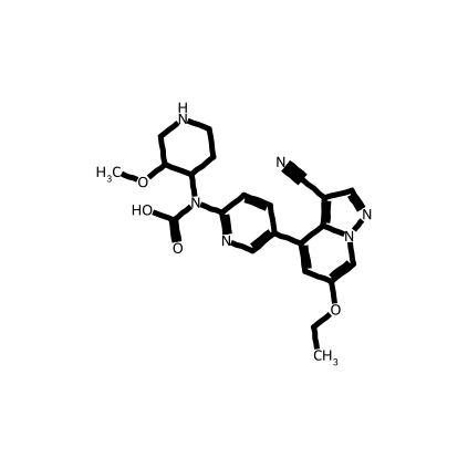 CCOc1cc(-c2ccc(N(C(=O)O)C3CCNCC3OC)nc2)c2c(C#N)cnn2c1